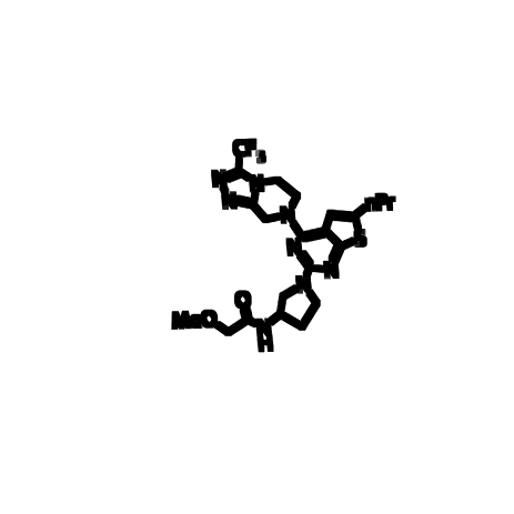 CCCc1cc2c(N3CCn4c(nnc4C(F)(F)F)C3)nc(N3CCC(NC(=O)COC)C3)nc2s1